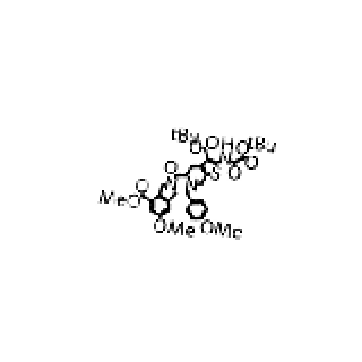 COC(=O)c1cc(OC)cc2c1CN(C(=O)C1Cc3c(sc(NC(=O)C(=O)OC(C)(C)C)c3C(=O)OC(C)(C)C)CN1Cc1ccc(OC)cc1)C2